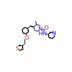 CC1CN(C(=O)Nc2cccnc2)CC/C1=C\c1cccc(OCCc2ccsc2)c1